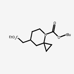 CCOC(=O)CC1CCN(C(=O)OC(C)(C)C)C2(CC2)C1